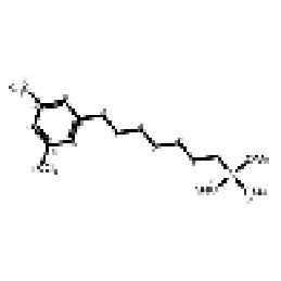 CO[Si](CCCCCCCc1cc(C(Cl)(Cl)Cl)cc(C(Cl)(Cl)Cl)c1)(OC)OC